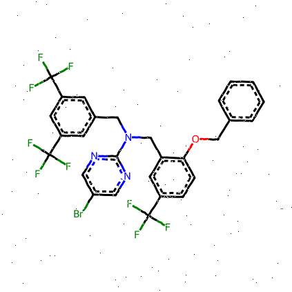 FC(F)(F)c1cc(CN(Cc2cc(C(F)(F)F)ccc2OCc2ccccc2)c2ncc(Br)cn2)cc(C(F)(F)F)c1